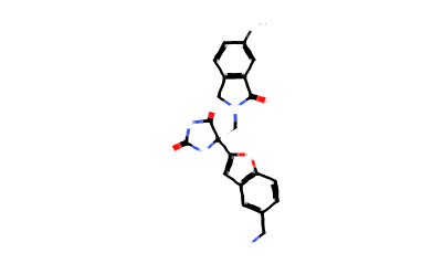 COc1ccc2c(c1)C(=O)N(C[C@@]1(c3cc4cc(CN)ccc4o3)NC(=O)NC1=O)C2